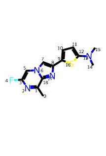 Cc1nc(F)cn2cc(-c3ccc(N(C)C)s3)nc12